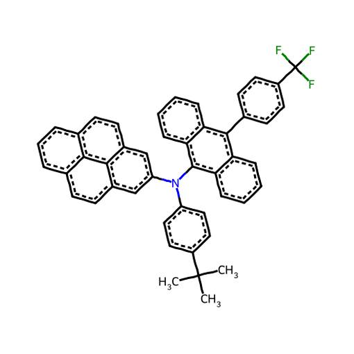 CC(C)(C)c1ccc(N(c2cc3ccc4cccc5ccc(c2)c3c45)c2c3ccccc3c(-c3ccc(C(F)(F)F)cc3)c3ccccc23)cc1